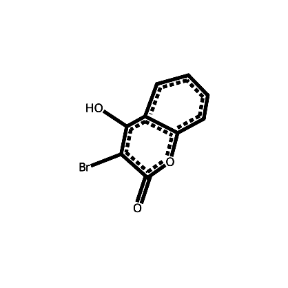 O=c1oc2ccccc2c(O)c1Br